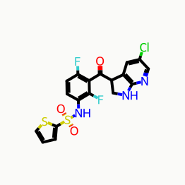 O=C(c1c(F)ccc(NS(=O)(=O)c2cccs2)c1F)C1CNc2ncc(Cl)cc21